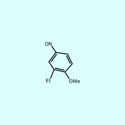 CCc1cc(N=O)ccc1OC